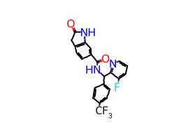 O=C1Cc2ccc(C(=O)NC(c3ccc(C(F)(F)F)cc3)c3ncccc3F)cc2N1